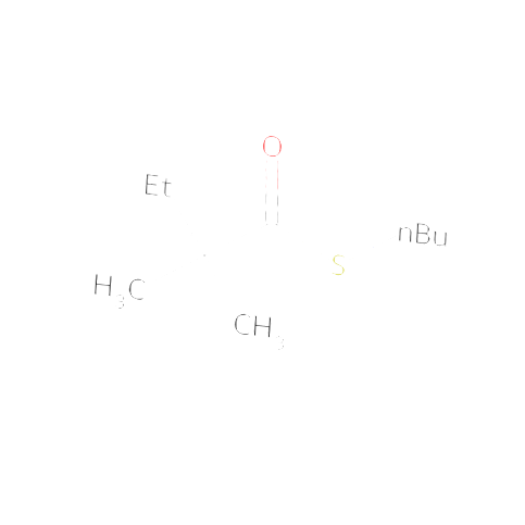 CCCCSC(=O)C(C)(C)CC